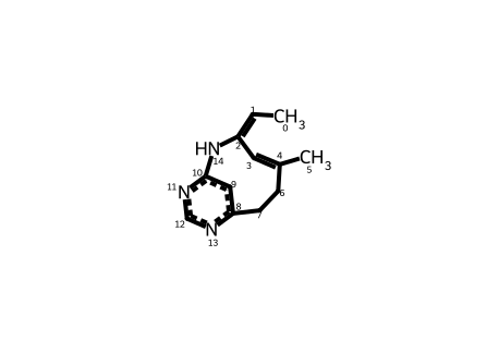 C/C=C1\C=C(/C)CCc2cc(ncn2)N1